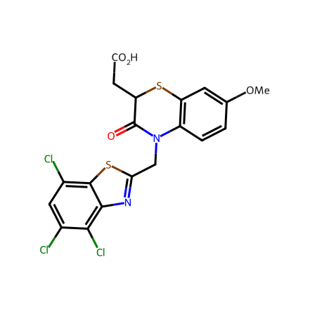 COc1ccc2c(c1)SC(CC(=O)O)C(=O)N2Cc1nc2c(Cl)c(Cl)cc(Cl)c2s1